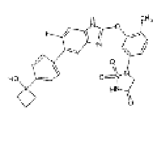 Cc1ccc(N2CC(=O)NS2(=O)=O)cc1Oc1nc2cc(-c3ccc(C4(O)CCC4)cc3)c(F)cc2[nH]1